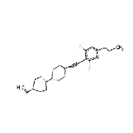 C=C[C@H]1CC[C@H]([C@H]2CC[C@H](C#Cc3c(F)cc(CCC)cc3F)CC2)CC1